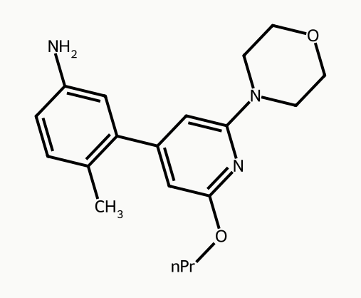 CCCOc1cc(-c2cc(N)ccc2C)cc(N2CCOCC2)n1